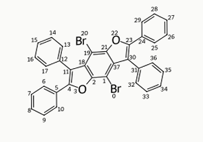 Brc1c2oc(-c3ccccc3)c(-c3ccccc3)c2c(Br)c2oc(-c3ccccc3)c(-c3ccccc3)c12